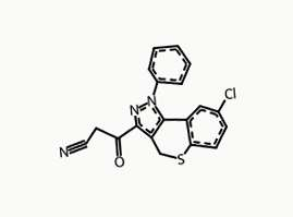 N#CCC(=O)c1nn(-c2ccccc2)c2c1CSc1ccc(Cl)cc1-2